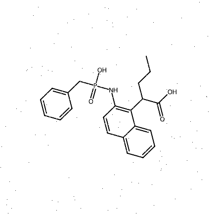 CCCC(C(=O)O)c1c(NP(=O)(O)Cc2ccccc2)ccc2ccccc12